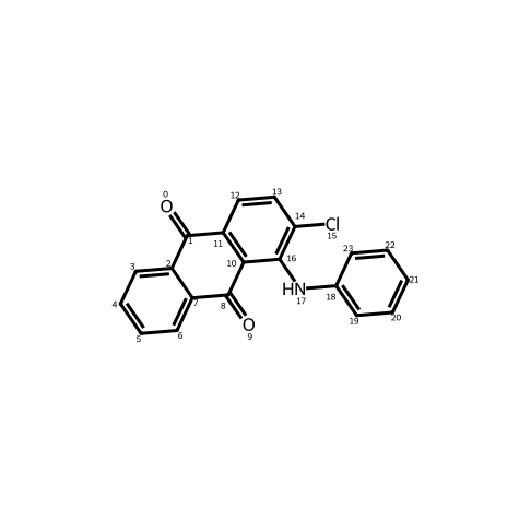 O=C1c2ccccc2C(=O)c2c1ccc(Cl)c2Nc1ccccc1